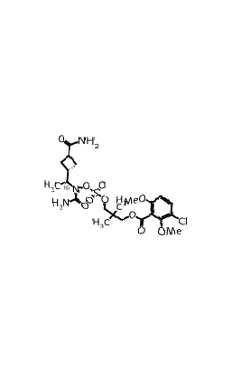 COc1ccc(Cl)c(OC)c1C(=O)OCC(C)(C)COS(=O)(=O)ON(C(N)=O)[C@@H](C)[C@H]1C[C@H](C(N)=O)C1